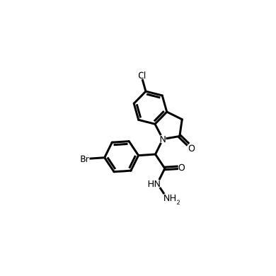 NNC(=O)C(c1ccc(Br)cc1)N1C(=O)Cc2cc(Cl)ccc21